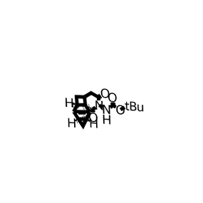 CC(C)(C)OC(=O)NN1C(=O)CC2C[C@H]3C4C=CC([C@@H]5C[C@@H]45)[C@]23C1=O